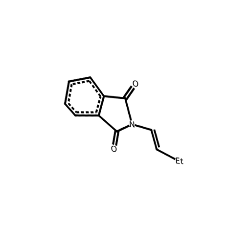 CCC=CN1C(=O)c2ccccc2C1=O